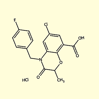 CC1Oc2c(C(=O)O)cc(Cl)cc2N(Cc2ccc(F)cc2)C1=O.Cl